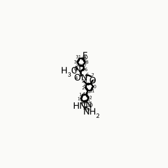 Cn1c(C(=O)N2CCOc3ccc(-c4ccc5[nH]c(N)nc5c4)cc3C2)cc2cc(F)ccc21